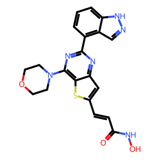 O=C(/C=C/c1cc2nc(-c3cccc4[nH]ncc34)nc(N3CCOCC3)c2s1)NO